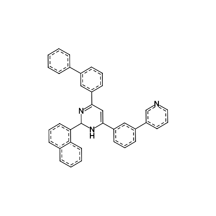 C1=C(c2cccc(-c3cccnc3)c2)NC(c2cccc3ccccc23)N=C1c1cccc(-c2ccccc2)c1